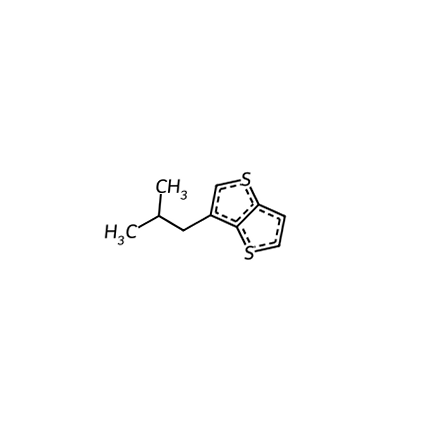 CC(C)Cc1csc2ccsc12